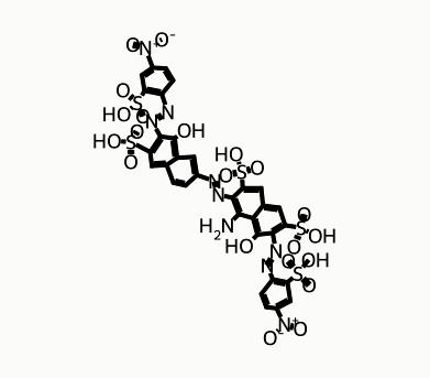 Nc1c(N=Nc2ccc3cc(S(=O)(=O)O)c(N=Nc4ccc([N+](=O)[O-])cc4S(=O)(=O)O)c(O)c3c2)c(S(=O)(=O)O)cc2cc(S(=O)(=O)O)c(N=Nc3ccc([N+](=O)[O-])cc3S(=O)(=O)O)c(O)c12